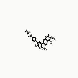 Cc1nc2cc(-c3cc(-c4ccc(N5CCN(C(C)C)CC5)cc4)c(F)nc3N)ccc2c(=O)n1N